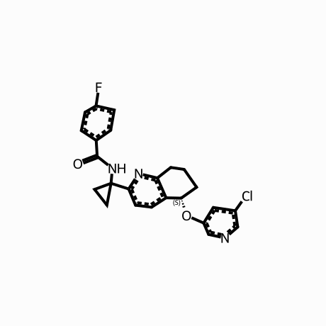 O=C(NC1(c2ccc3c(n2)CCC[C@@H]3Oc2cncc(Cl)c2)CC1)c1ccc(F)cc1